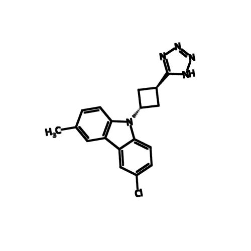 Cc1ccc2c(c1)c1cc(Cl)ccc1n2[C@H]1C[C@H](c2nnn[nH]2)C1